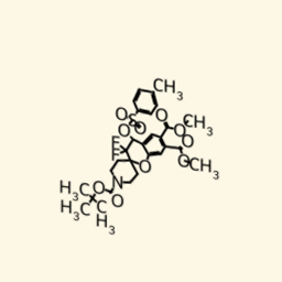 COC(=O)c1cc2c(cc1C(=O)OC)C(OS(=O)(=O)c1ccc(C)cc1)C(F)(F)C1(CCN(C(=O)OC(C)(C)C)CC1)O2